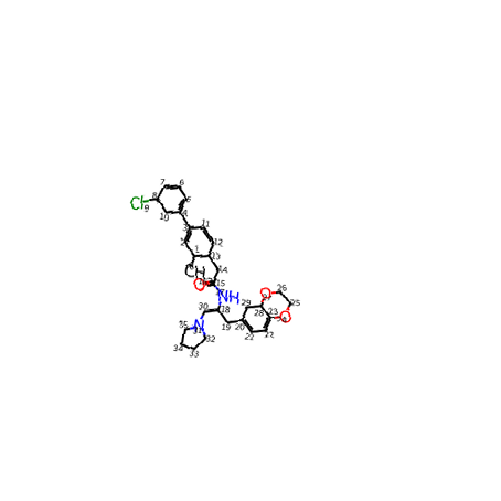 CC1C=C(C2=CC=CC(Cl)C2)C=CC1CC(=O)NC(CC1=CC=C2OCCOC2C1)CN1CCCC1